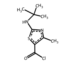 Cc1nc(NC(C)(C)C)sc1C(=O)Cl